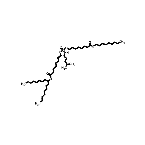 CCCCCCCCCOC(=O)CCCCCCCOP(=O)(NCCCN(C)C)OCCCCCCCC(=O)OC(CCCCCCCC)CCCCCCCC